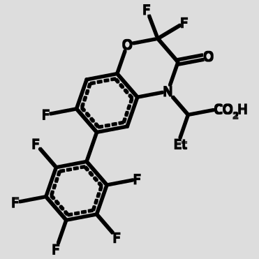 CCC(C(=O)O)N1C(=O)C(F)(F)Oc2cc(F)c(-c3c(F)c(F)c(F)c(F)c3F)cc21